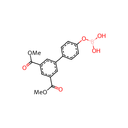 COC(=O)c1cc(C(=O)OC)cc(-c2ccc(OB(O)O)cc2)c1